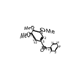 COc1cc(C2=C(c3ccccc3)O2)cc(OC)c1OC